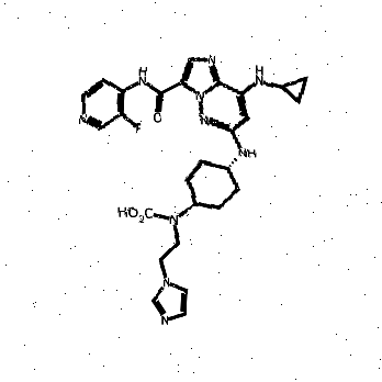 O=C(Nc1ccncc1F)c1cnc2c(NC3CC3)cc(N[C@H]3CC[C@H](N(CCn4ccnc4)C(=O)O)CC3)nn12